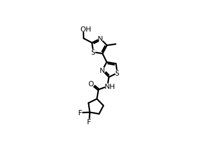 Cc1nc(CO)sc1-c1csc(NC(=O)C2CCC(F)(F)C2)n1